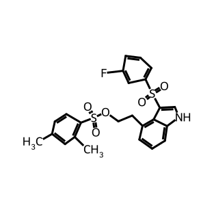 Cc1ccc(S(=O)(=O)OCCc2cccc3[nH]cc(S(=O)(=O)c4cccc(F)c4)c23)c(C)c1